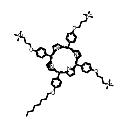 CCCCCCCCOc1ccc(-c2c3nc(c(-c4ccc(OCCC[N+](C)(C)C)cc4)c4ccc([nH]4)c(-c4ccc(OCCC[N+](C)(C)C)cc4)c4nc(c(-c5ccc(OCCC[N+](C)(C)C)cc5)c5ccc2[nH]5)C=C4)C=C3)cc1